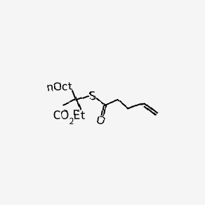 C=CCCC(=O)SC(C)(CCCCCCCC)C(=O)OCC